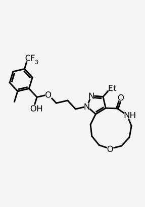 CCc1nn(CCCOC(O)c2cc(C(F)(F)F)ccc2C)c2c1C(=O)NCCCOCCC2